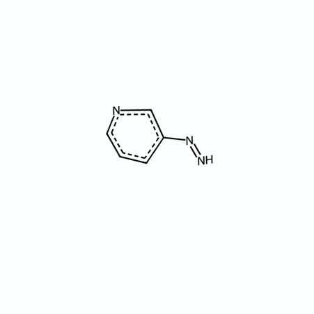 N=Nc1cccnc1